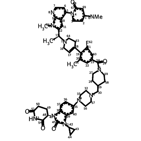 CNc1ccn(-c2ccnc3c2cc([C@H](C)N2CC=C(c4c(C)cc(C(=O)N5CCC(CN6CCN(c7ccc8c(c7)n(C7CC7)c(=O)n8[C@H]7CCC(=O)NC7=O)CC6)CC5)cc4F)CC2)n3C)c(=O)c1